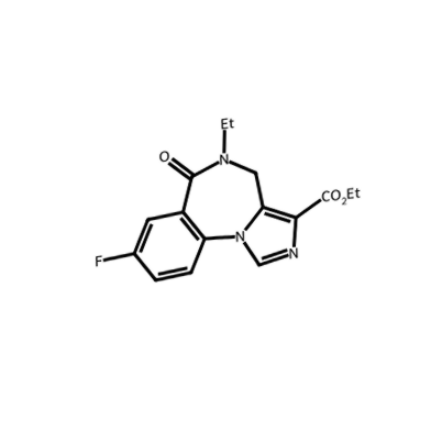 CCOC(=O)c1ncn2c1CN(CC)C(=O)c1cc(F)ccc1-2